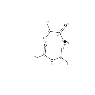 CC(=O)OC(C)C.CC(C)C(N)=O